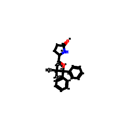 CC(C)(C)[Si](OCC1CCC(=O)N1)(c1ccccc1)c1ccccc1